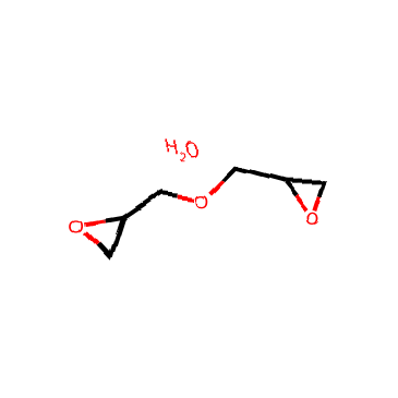 C(OCC1CO1)C1CO1.O